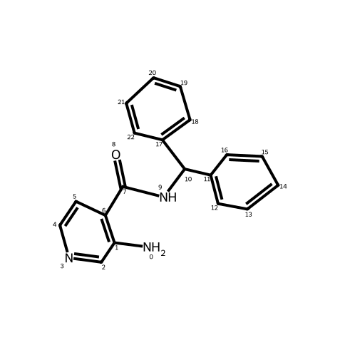 Nc1cnccc1C(=O)NC(c1ccccc1)c1ccccc1